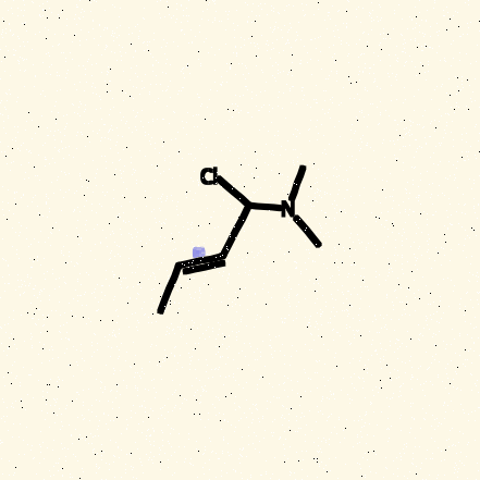 C/C=C/C(Cl)N(C)C